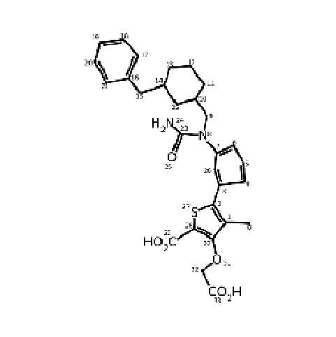 Cc1c(-c2cccc(N(CC3CCCC(Cc4ccccc4)C3)C(N)=O)c2)sc(C(=O)O)c1OCC(=O)O